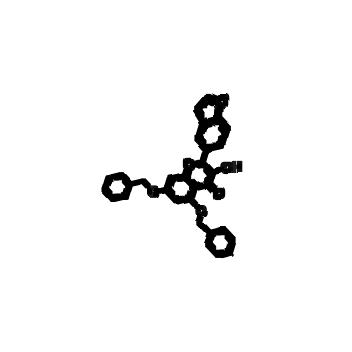 O=c1c(O)c(-c2ccc3occc3c2)oc2cc(OCc3ccccc3)cc(OCc3ccccc3)c12